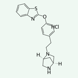 Cl.c1ccc2sc(Oc3ccc(CCN4C[C@@H]5C[C@H]4CN5)cc3)nc2c1